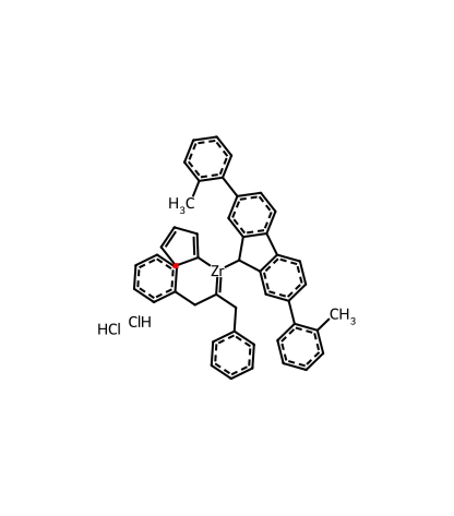 Cc1ccccc1-c1ccc2c(c1)[CH]([Zr]([C]1=CC=CC1)=[C](Cc1ccccc1)Cc1ccccc1)c1cc(-c3ccccc3C)ccc1-2.Cl.Cl